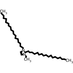 CCCCCCCCCCCCCCCCCCCN1C=CN(CC)C1CCCCCCCCCCCCCCCCCC